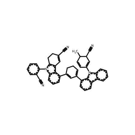 CC1C=CC(n2c3ccccc3c3cccc(C4=CCCC(c5cccc6c5c5c(n6-c6ccccc6C#N)CCC(C#N)=C5)=C4)c32)=CC1C#N